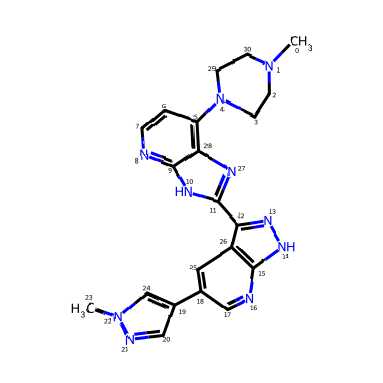 CN1CCN(c2ccnc3[nH]c(-c4n[nH]c5ncc(-c6cnn(C)c6)cc45)nc23)CC1